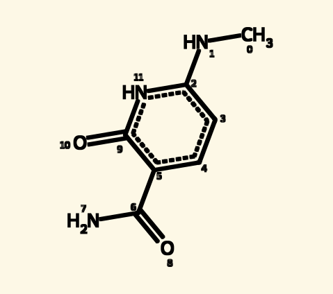 CNc1ccc(C(N)=O)c(=O)[nH]1